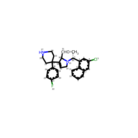 C[C@H](c1cc(Cl)cc2ccccc12)N1CC=C(C2(c3ccc(F)cc3)CCNCC2)C1C=O